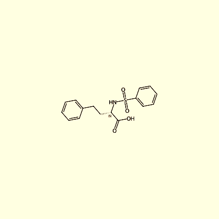 O=C(O)[C@H](CCc1ccccc1)NS(=O)(=O)c1ccccc1